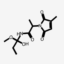 CCC(O)(NC(=O)C(C)N1C(=O)C=C(C)C1=O)OC